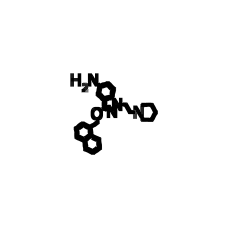 Nc1ccc2c(c1)c(OCc1cccc3ccccc13)nn2CCN1CCCCC1